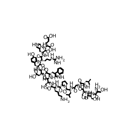 CC(C)C[C@H](NC(=O)[C@H](CO)NC(=O)[C@H](CO)NC(=O)[C@@H](N)CO)C(=O)NCC(=O)N[C@@H](CC(C)C)C(=O)N1CCC[C@H]1C(=O)N[C@@H](CCCCN)C(=O)N[C@@H](CS)C(=O)N[C@@H](Cc1c[nH]c2ccccc12)C(=O)N[C@@H](CC(=O)O)C(=O)N[C@@H](Cc1ccc(O)cc1)C(=O)N[C@@H](CCCNC(=N)N)C(=O)N[C@@H](Cc1c[nH]cn1)C(=O)N[C@@H](CCC(=O)O)C(=O)O